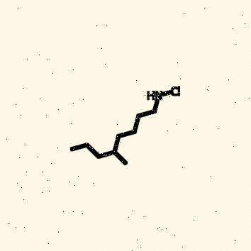 CCCC(C)CCCCNCl